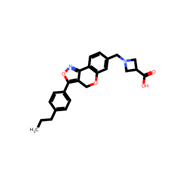 CCCc1ccc(-c2onc3c2COc2cc(CN4CC(C(=O)O)C4)ccc2-3)cc1